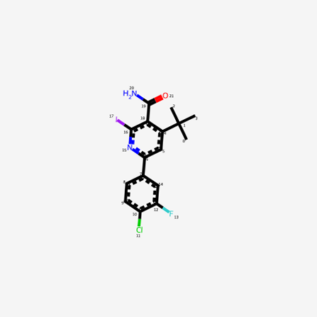 CC(C)(C)c1cc(-c2ccc(Cl)c(F)c2)nc(I)c1C(N)=O